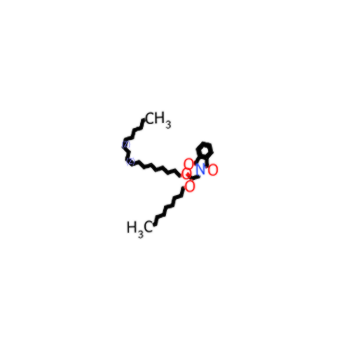 CCCCC/C=C\C/C=C\CCCCCCCCOC(CN1C(=O)c2ccccc2C1=O)OCCCCCCCCC